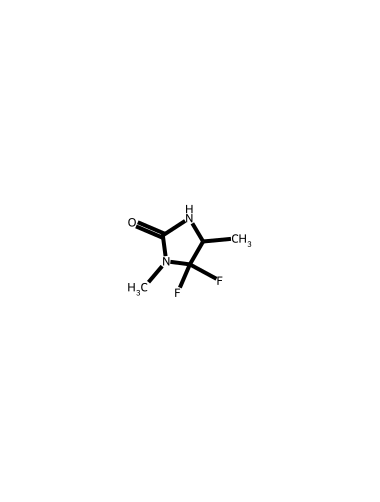 CC1NC(=O)N(C)C1(F)F